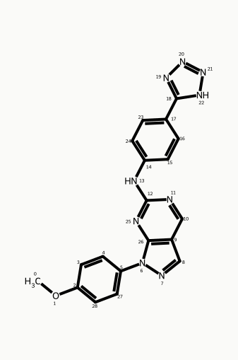 COc1ccc(-n2ncc3cnc(Nc4ccc(-c5nnn[nH]5)cc4)nc32)cc1